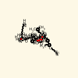 CCc1cc(OCCCCN=[N+]=[N-])ccc1-c1ccc(C[C@H](NC(=O)[C@H](CC(=O)O)NC(=O)[C@H](CO)NC(=O)[C@@H](NC(=O)[C@](C)(Cc2ccccc2F)NC(=O)[C@@H](NC(=O)CNC(=O)[C@H](Cc2nn[nH]n2)NC(=O)C(C)(C)NC(=O)CCCCCc2c[nH]cn2)[C@@H](C)O)[C@@H](C)O)C(=O)N[C@@H](CCCc2cc(C)cc(C)c2)C(N)=O)cc1